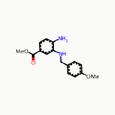 COC(=O)c1ccc(N)c(NCc2ccc(OC)cc2)c1